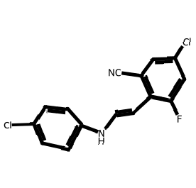 N#Cc1[c]c(Cl)cc(F)c1C=CNc1ccc(Cl)cc1